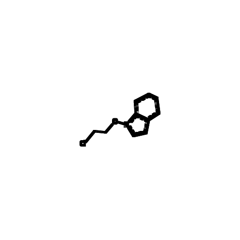 ClCCOn1ccc2ccccc21